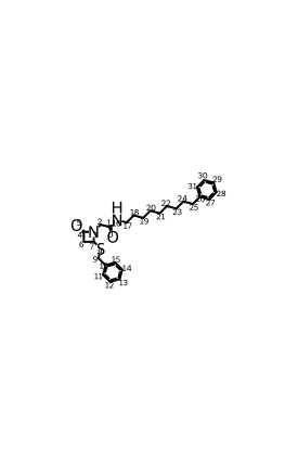 O=C(CN1C(=O)CC1SCc1ccccc1)NCCCCCCCCCc1ccccc1